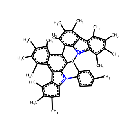 Cc1ccc2c(c1)B1c3c(c4c(C)c(C)c(C)c(C)c4c4c5c(C)c(C)c(C)cc5n-2c34)-c2c(C)c(C)c(C)c3c4c(C)c(C)c(C)c(C)c4n1c23